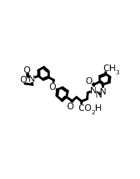 Cc1ccc2nnn(CCC(CC(=O)c3ccc(OCc4cccc(N5CCOC5=O)c4)cc3)C(=O)O)c(=O)c2c1